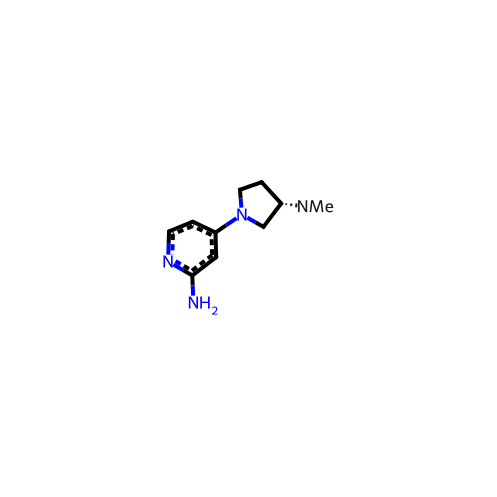 CN[C@H]1CCN(c2ccnc(N)c2)C1